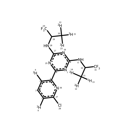 [2H]c1cc([2H])c(-c2nc(NC(C([2H])([2H])[2H])C(F)(F)F)nc(NC(C([2H])([2H])[2H])C(F)(F)F)n2)nc1Cl